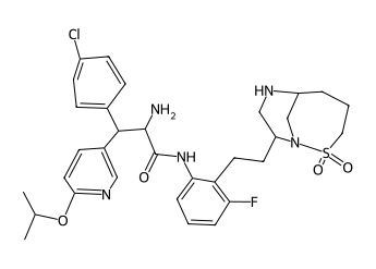 CC(C)Oc1ccc(C(c2ccc(Cl)cc2)C(N)C(=O)Nc2cccc(F)c2CCC2CNC3CCCS(=O)(=O)N2C3)cn1